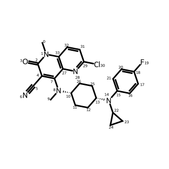 Cn1c(=O)c(C#N)c(N(C)[C@H]2CC[C@@H](N(c3ccc(F)cc3)C3CC3)CC2)c2nc(Cl)ccc21